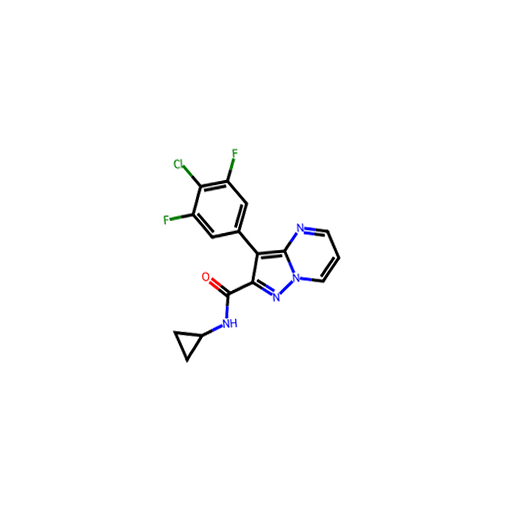 O=C(NC1CC1)c1nn2cccnc2c1-c1cc(F)c(Cl)c(F)c1